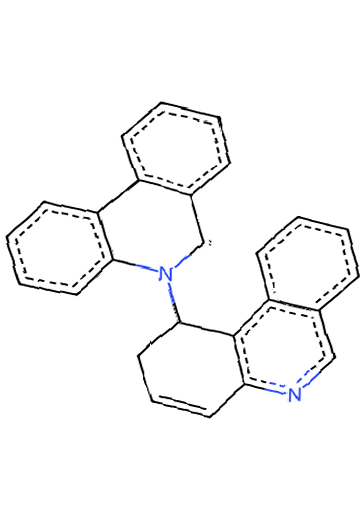 [C]1c2ccccc2-c2ccccc2N1C1CC=Cc2ncc3ccccc3c21